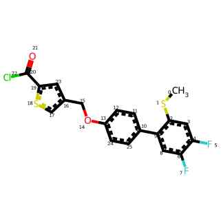 CSc1cc(F)c(F)cc1-c1ccc(OCc2csc(C(=O)Cl)c2)cc1